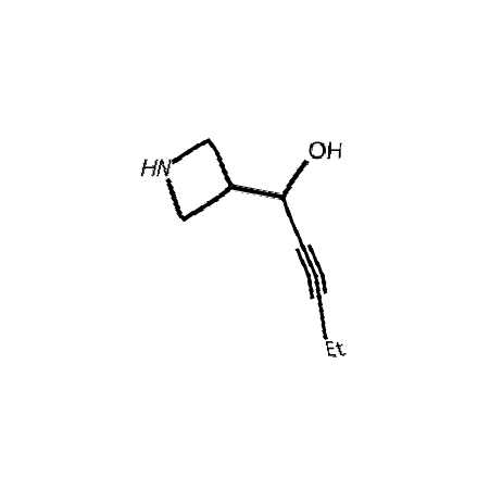 CCC#CC(O)C1CNC1